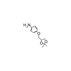 CC1(C)OCC(COc2ccc(N)cc2)O1